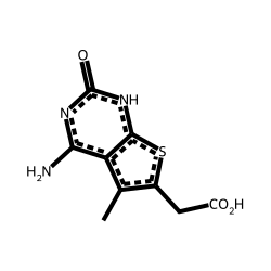 Cc1c(CC(=O)O)sc2[nH]c(=O)nc(N)c12